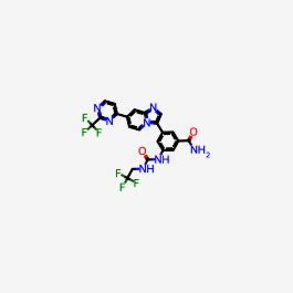 NC(=O)c1cc(NC(=O)NCC(F)(F)F)cc(-c2cnc3cc(-c4ccnc(C(F)(F)F)n4)ccn23)c1